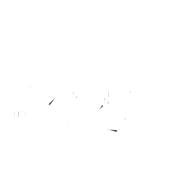 CC[C@H](C)[C@H](NC(=O)OC(C)(C)C)C(=O)N1Cc2ccccc2C[C@@H]1CC(=O)O